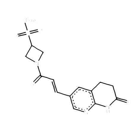 CCCCCS(=O)(=O)C1CN(C(=O)C=Cc2cnc3c(c2)CCC(=O)N3)C1